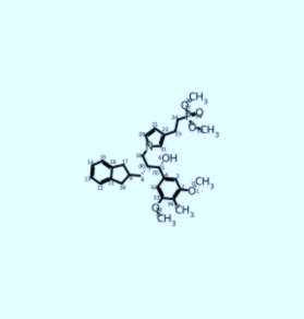 COc1cc([C@@H](O)[C@H](CC2Cc3ccccc3C2)Cn2ccc(CCP(=O)(OC)OC)c2)cc(OC)c1C